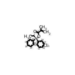 C=C(C)C(=O)O[N+](CC)(c1ccccc1)c1ccccc1.[Cl-]